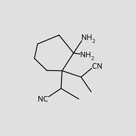 CC(C#N)C1(C(C)C#N)CCCCC1(N)N